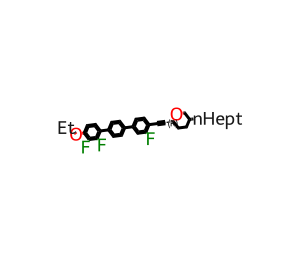 CCCCCCCC1CC[C@H](C#Cc2ccc(-c3ccc(-c4ccc(OCC)c(F)c4F)cc3)cc2F)OC1